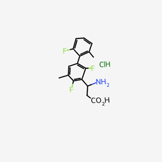 Cc1cc(-c2c(C)cccc2F)c(F)c(C(N)CC(=O)O)c1F.Cl